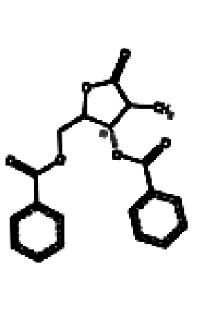 CC1C(=O)OC(COC(=O)c2ccccc2)[C@H]1OC(=O)c1ccccc1